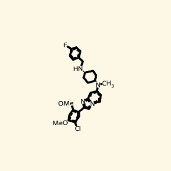 COc1cc(OC)c(-c2cn3ccc(N(C)[C@H]4CC[C@@H](NCc5ccc(F)cc5)CC4)cc3n2)cc1Cl